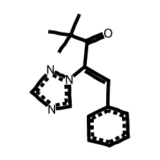 CC(C)(C)C(=O)/C(=C/c1ccccc1)n1cncn1